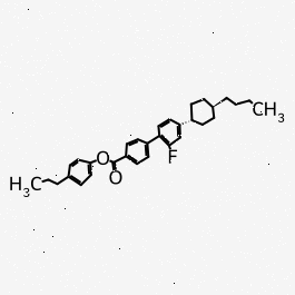 CCCC[C@H]1CC[C@H](c2ccc(-c3ccc(C(=O)Oc4ccc(CCC)cc4)cc3)c(F)c2)CC1